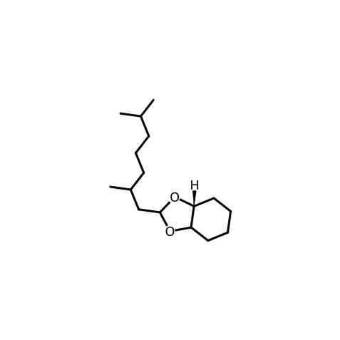 CC(C)CCCC(C)CC1OC2CCCC[C@H]2O1